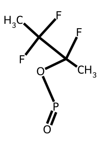 CC(F)(F)C(C)(F)OP=O